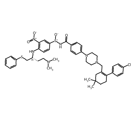 CN(C)CC[C@H](CSc1ccccc1)Nc1ccc([S+]([O-])NC(=O)c2ccc(N3CCN(CC4=C(c5ccc(Cl)cc5)CCC(C)(C)C4)CC3)cc2)cc1[N+](=O)[O-]